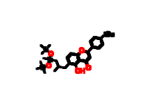 CC(Cc1ccc2oc(-c3ccc(C(C)(C)C)cc3)cc(=O)c2c1O)C[Si](C)(O[Si](C)(C)C)O[Si](C)(C)C